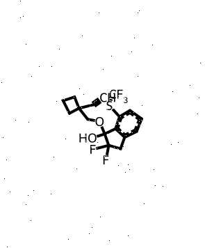 C#CC1(COC2(O)c3c(cccc3SC(F)(F)F)CC2(F)F)CCC1